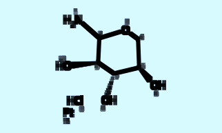 Cl.NC1OC[C@@H](O)[C@H](O)[C@H]1O.[Pt]